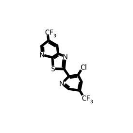 FC(F)(F)c1cnc(-c2nc3cc(C(F)(F)F)cnc3s2)c(Cl)c1